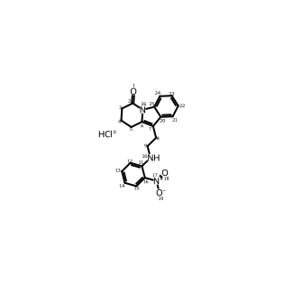 Cl.O=C1CCCc2c(CCNc3ccccc3[N+](=O)[O-])c3ccccc3n21